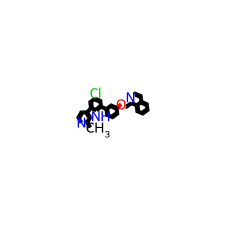 Cc1nccc2c1[nH]c1c(-c3cccc(OCc4nccc5ccccc45)c3)cc(Cl)cc12